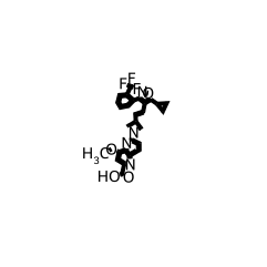 COc1cc(C(=O)O)nc2ccc(N3CC(/C=C/c4c(-c5ccccc5C(F)(F)F)noc4C4CC4)C3)nc12